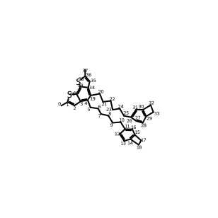 Cc1cc2c(CCCCCCc3ccc4c(c3)CC4)c(CCCCCCc3ccc4c(c3)CC4)c3cc(C)sc3c2s1